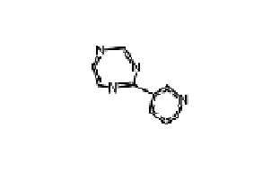 C1=CN=C(c2cccnc2)N=CN=1